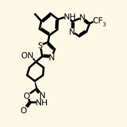 Cc1cc(Nc2nccc(C(F)(F)F)n2)cc(-c2cnc([C@]3(N=O)CC[C@@H](c4n[nH]c(=O)o4)CC3)s2)c1